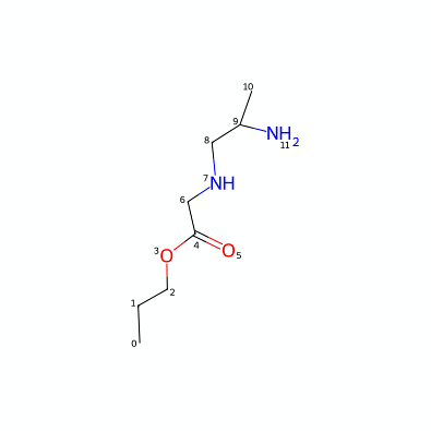 CCCOC(=O)CNCC(C)N